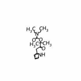 CCN(CC)C(=O)OC(C)(C)C(=O)Cc1ccc[nH]1